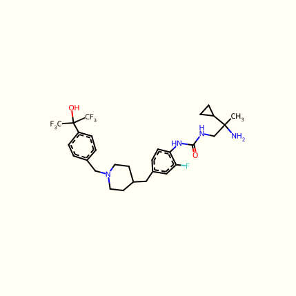 CC(N)(CNC(=O)Nc1ccc(CC2CCN(Cc3ccc(C(O)(C(F)(F)F)C(F)(F)F)cc3)CC2)cc1F)C1CC1